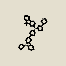 CC1(C)C2=CC(N(c3ccc(-c4ccc5c(c4)C4C=CC=CC4N5c4ccccc4)cc3)c3cccc(-c4cccnc4)c3)=CCC2c2ccccc21